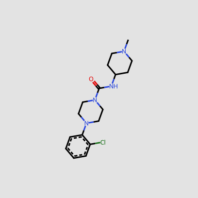 CN1CCC(NC(=O)N2CCN(c3ccccc3Cl)CC2)CC1